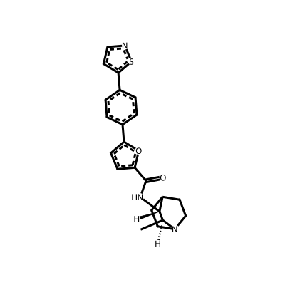 C[C@H]1[C@H](NC(=O)c2ccc(-c3ccc(-c4ccns4)cc3)o2)C2CCN1CC2